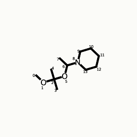 COC(C)(C)OC(C)N1CCCCC1